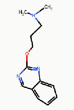 CN(C)CCCOc1n[c]c2ccccc2n1